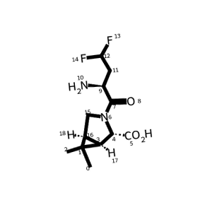 CC1(C)[C@@H]2[C@@H](C(=O)O)N(C(=O)[C@@H](N)CC(F)F)C[C@@H]21